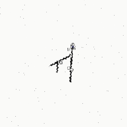 CCCCCCCCOC(=O)CCCCCCCN(CCCCCCCC(=O)OC(CCCCC)CCCCCC)CCCN/C(=N/OC)N(C)C